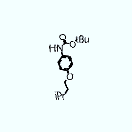 CC(C)CCOc1ccc(NC(=O)OC(C)(C)C)cc1